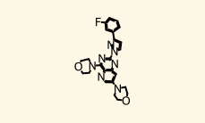 Fc1cccc(-c2ccn(-c3nc(N4CCOCC4)c4ncc(N5CCOCC5)cc4n3)n2)c1